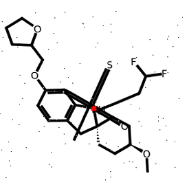 CO[C@H]1CC[C@]2(CC1)Cc1ccc(OCC3CCCO3)cc1C21NC(=S)N(CC(F)F)C1=O